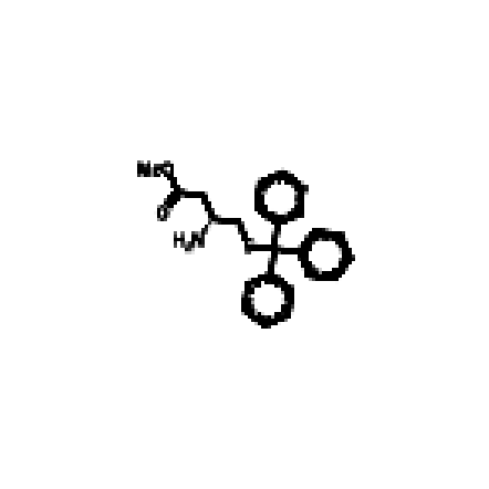 COC(=O)C[C@@H](N)CSC(c1ccccc1)(c1ccccc1)c1ccccc1